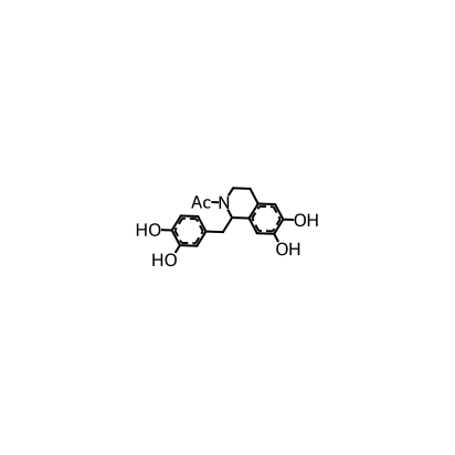 CC(=O)N1CCc2cc(O)c(O)cc2C1Cc1ccc(O)c(O)c1